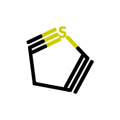 C1#CS#CC1